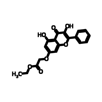 CCOC(=O)COc1cc(O)c2c(=O)c(O)c(-c3ccccc3)oc2c1